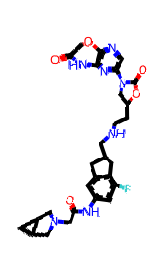 O=C(CN1CC2CC2C1)Nc1cc(F)c2c(c1)CC(CNCCC1CN(c3cnc4c(n3)NC(=O)CO4)C(=O)O1)C2